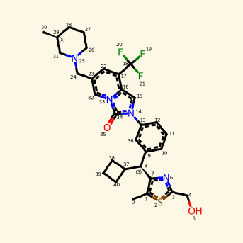 Cc1sc(CO)nc1[C@H](c1cccc(-n2cc3c(C(F)(F)F)cc(CN4CCC[C@H](C)C4)cn3c2=O)c1)C1CCC1